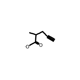 C#CCC(C)C([O])=O